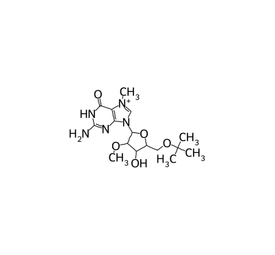 COC1C(O)C(COC(C)(C)C)OC1n1c[n+](C)c2c(=O)[nH]c(N)nc21